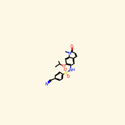 CC(C)Oc1cc2c(ccc(=O)n2C)cc1NS(=O)(=O)c1ccc(C#N)cc1